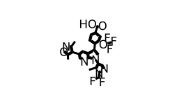 Cc1noc(C)c1-c1cnc2c(c1)c(-c1ccc(C(=O)O)cc1OC(F)(F)F)cn2-c1cnn(C(F)F)c1C